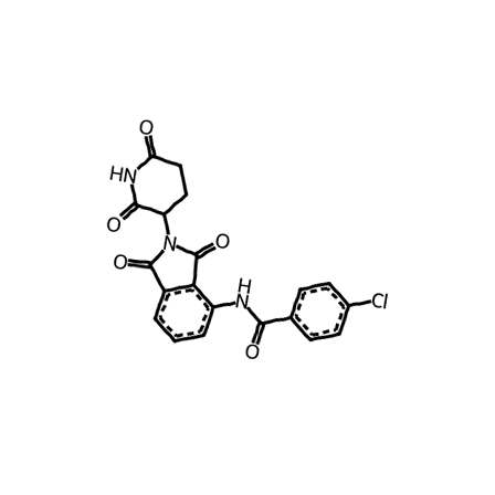 O=C1CCC(N2C(=O)c3cccc(NC(=O)c4ccc(Cl)cc4)c3C2=O)C(=O)N1